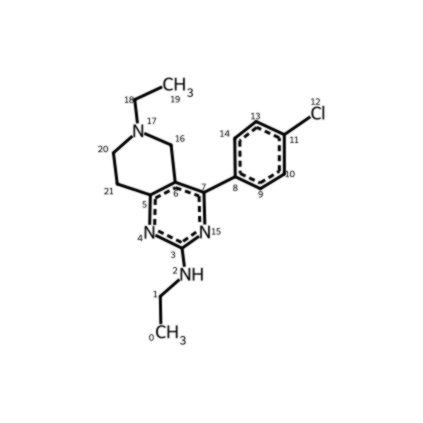 CCNc1nc2c(c(-c3ccc(Cl)cc3)n1)CN(CC)CC2